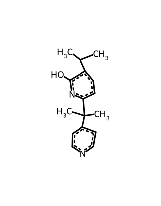 CC(C)c1ccc(C(C)(C)c2ccncc2)nc1O